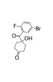 O=C1CCC(O)(C(=O)c2cc(Br)ccc2F)CC1